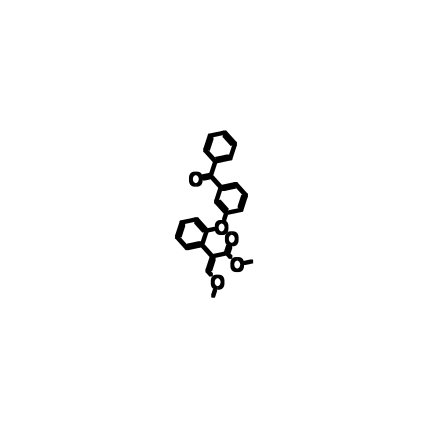 COC=C(C(=O)OC)c1ccccc1Oc1cccc(C(=O)c2ccccc2)c1